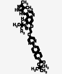 Cc1n[nH]c(Nc2ncnc3cc(OCCOc4cnc(N5CCC6(CCN(C(=O)OC(C)(C)C)CC6)CC5)nc4)c([S+]([O-])C(C)(C)C)cc23)c1C